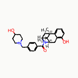 CC1(C)[C@H]2Cc3c(O)cccc3[C@]1(C)CCN2C(=O)c1ccc(CN2CCC(O)CC2)cc1